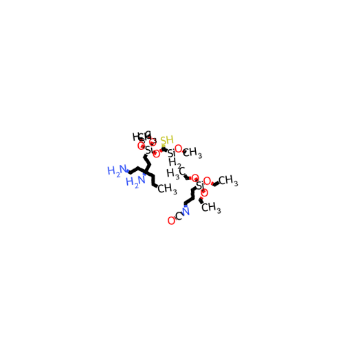 CCCC(N)(CCN)CC[Si](OC)(OC)OC(S)[SiH2]OC.CCO[Si](CCCN=C=O)(OCC)OCC